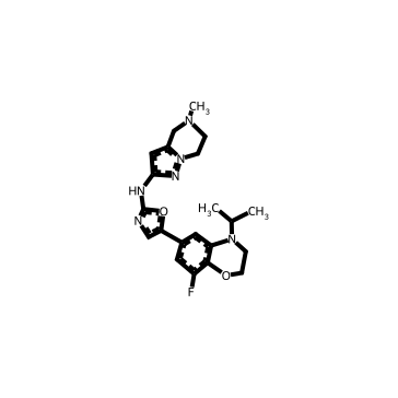 CC(C)N1CCOc2c(F)cc(-c3cnc(Nc4cc5n(n4)CCN(C)C5)o3)cc21